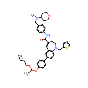 CCCCOC(C)Oc1ccc(-c2ccc3c(c2)C=C(C(=O)Nc2ccc(CN(C)C4CCOCC4)cc2)CCN3Cc2cccs2)cc1